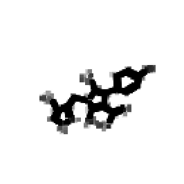 CC(=N)c1c(-c2ccc(C#N)cc2)c(C)n(Cc2n[nH]cc2C)c1C